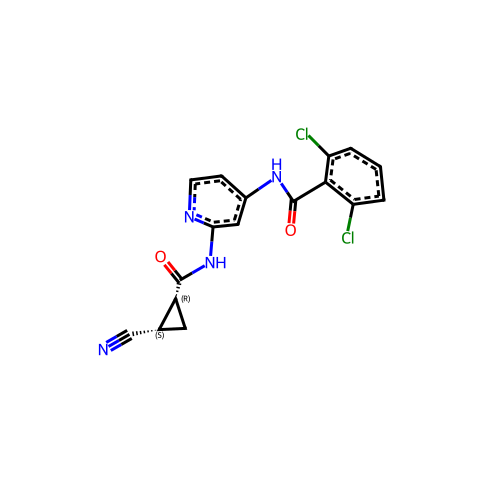 N#C[C@H]1C[C@H]1C(=O)Nc1cc(NC(=O)c2c(Cl)cccc2Cl)ccn1